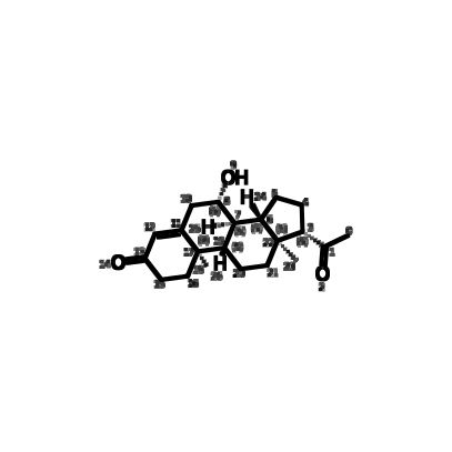 CC(=O)[C@H]1CC[C@H]2[C@@H]3[C@@H](O)CC4=CC(=O)CC[C@]4(C)[C@H]3CC[C@]12C